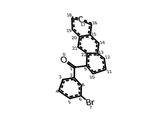 O=C(c1cccc(Br)c1)c1cccc2cc3ccccc3cc12